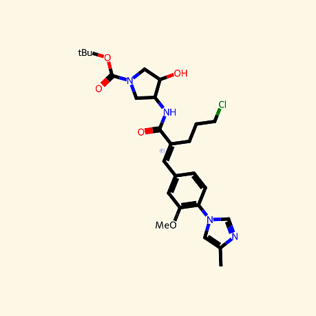 COc1cc(/C=C(\CCCCl)C(=O)NC2CN(C(=O)OC(C)(C)C)CC2O)ccc1-n1cnc(C)c1